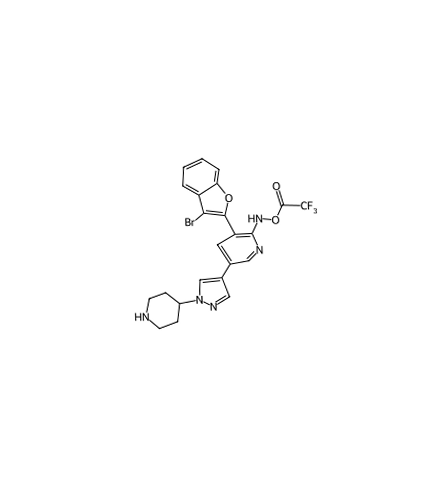 O=C(ONc1ncc(-c2cnn(C3CCNCC3)c2)cc1-c1oc2ccccc2c1Br)C(F)(F)F